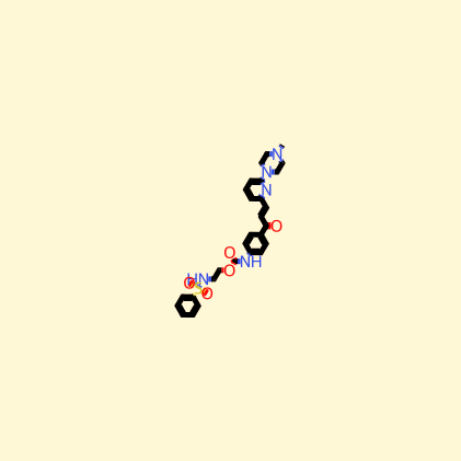 CN1CCN(c2cccc(C=CC(=O)c3ccc(NC(=O)OCCNS(=O)(=O)c4ccccc4)cc3)n2)CC1